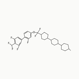 CC1CCC(C2CCC(C3CCC(C(F)(F)Oc4ccc(-c5cc(F)c(C(F)F)c(F)c5)c(F)c4)CC3)CC2)CC1